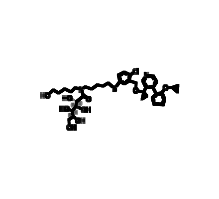 O=C([C@@H](O)[C@@H](O)[C@H](O)[C@@H](O)CO)N(CCCCCO)CCCCCSc1ccc(Cl)c(COC2(c3cnccc3-c3ccccc3OC3CC3)CC2)c1